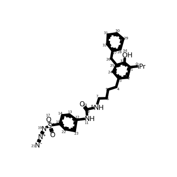 CC(C)c1cc(CCCCNC(=O)Nc2ccc(S(=O)(=O)N=[N+]=[N-])cc2)cc(Cc2ccccc2)c1O